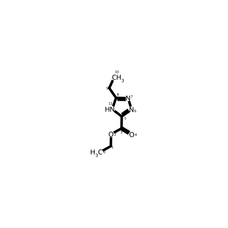 CCOC(=O)c1nnc(CC)[nH]1